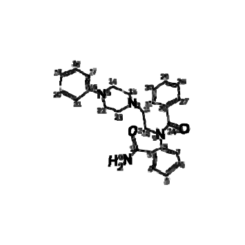 NC(=O)c1ccccc1N(CCN1CCN(c2ccccc2)CC1)C(=O)c1ccccc1